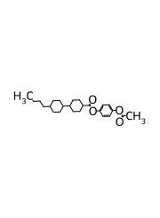 CCCCC1CCC(C2CCC(C(=O)Oc3ccc(OC(C)=O)cc3)CC2)CC1